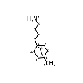 CC12CCC(CCCCN)(CC1)CC2